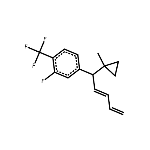 C=C/C=C/C(c1ccc(C(F)(F)F)c(F)c1)C1(C)CC1